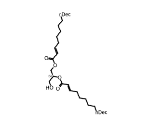 CCCCCCCCCCCCCCCC=CC(=O)OC[C@H](CO)OC(=O)C=CCCCCCCCCCCCCCCC